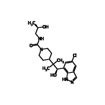 C[C@@H](O)CNC(=O)N1CCC(C(C)(C)[C@H](O)c2cc(Cl)cc3cn[nH]c23)CC1